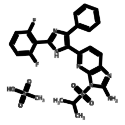 CC(C)S(=O)(=O)n1c(N)nc2ccc(-c3[nH]c(-c4c(F)cccc4F)nc3-c3ccccc3)nc21.CS(=O)(=O)O